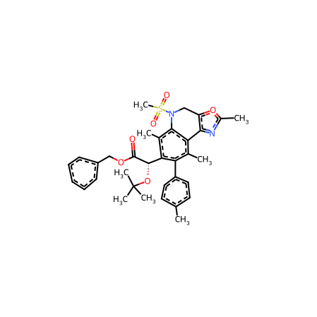 Cc1ccc(-c2c(C)c3c(c(C)c2[C@H](OC(C)(C)C)C(=O)OCc2ccccc2)N(S(C)(=O)=O)Cc2oc(C)nc2-3)cc1